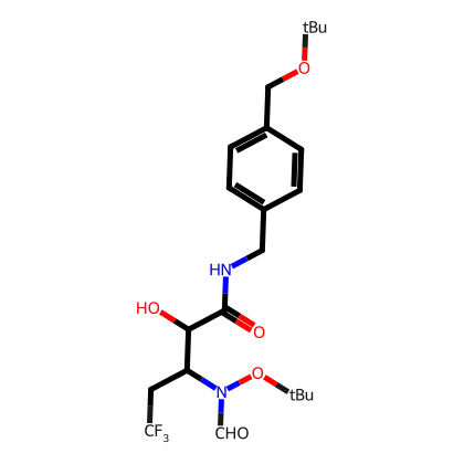 CC(C)(C)OCc1ccc(CNC(=O)C(O)C(CC(F)(F)F)N(C=O)OC(C)(C)C)cc1